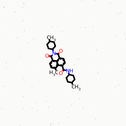 Cc1ccc2c3c(ccc(C(=O)NC4CCC(C)CC4)c13)C(=O)N(C1CCC(C)CC1)C2=O